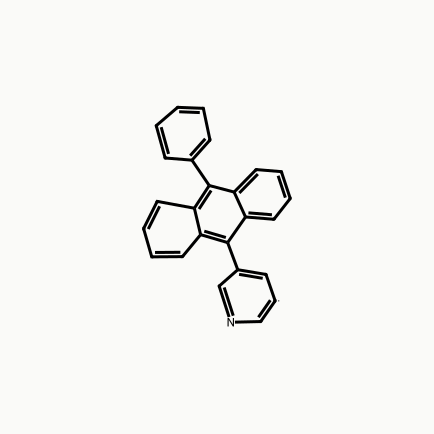 [c]1cncc(-c2c3ccccc3c(-c3ccccc3)c3ccccc23)c1